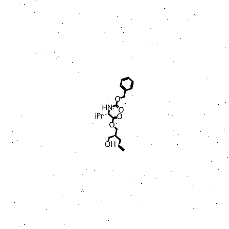 C=CCC(CO)COC(=O)[C@@H](NC(=O)OCc1ccccc1)C(C)C